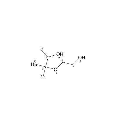 [CH2]C(S)(OCCO)C(C)O